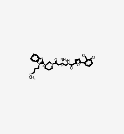 COCCCn1c([C@@H]2CCCN(C(=O)C[C@H](N)CNC(=O)c3ccc(-c4cccc(Cl)c4Cl)o3)C2)nc2ccccc21